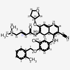 Cc1ccccc1COc1ccc(NC2=C(C#N)C=NC3=CC(O[C@H]4CCOC4)=C(NC(=O)/C=C/CN(C)C)CC32)cc1Cl